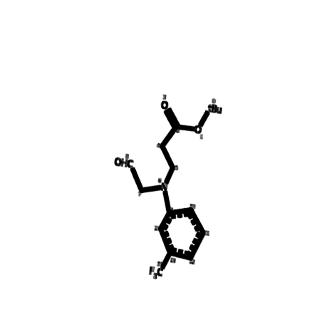 CC(C)(C)OC(=O)CCN(CC=O)c1cccc(C(F)(F)F)c1